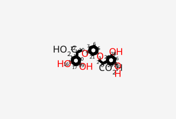 O=C(O)C(COc1cccc(OCC(C(=O)O)c2cc(O)cc(O)c2)c1)c1cc(O)cc(O)c1